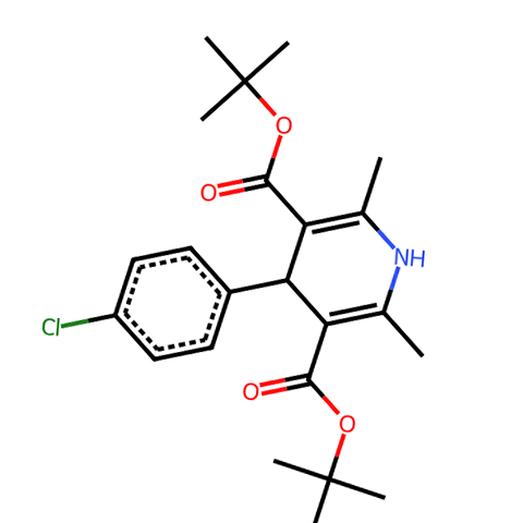 CC1=C(C(=O)OC(C)(C)C)C(c2ccc(Cl)cc2)C(C(=O)OC(C)(C)C)=C(C)N1